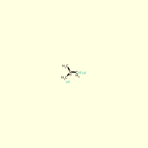 C[SiH](C)C.F.F.F